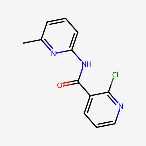 Cc1cccc(NC(=O)c2cccnc2Cl)n1